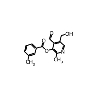 Cc1cccc(C(=O)Oc2c(C)ncc(CO)c2C=O)c1